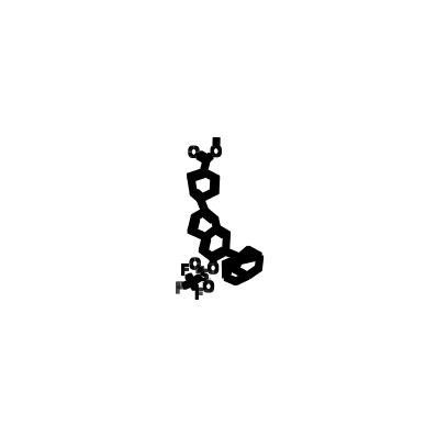 COC(=O)c1ccc(-c2ccc3cc(OS(=O)(=O)C(F)(F)F)c(C45CC6CC(CC(C6)C4)C5)cc3c2)cc1